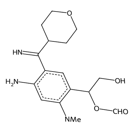 CNc1cc(N)c(C(=N)C2CCOCC2)cc1C(CO)OC=O